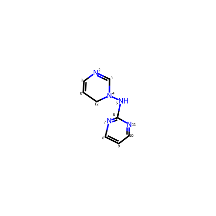 C1=CN=CN(Nc2ncccn2)C1